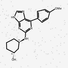 COc1ccc(-c2nc(N[C@@H]3CCC[C@@H](O)C3)nc3[nH]cnc23)cc1